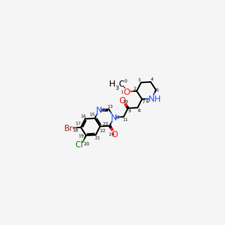 COC1CCCNC1CC(=O)Cn1cnc2cc(Br)c(Cl)cc2c1=O